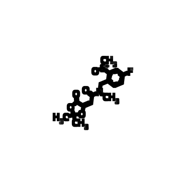 CN(Cc1ccc(F)cc1[S+](C)[O-])C(=O)C=C1OC(C)(C)OC1=O